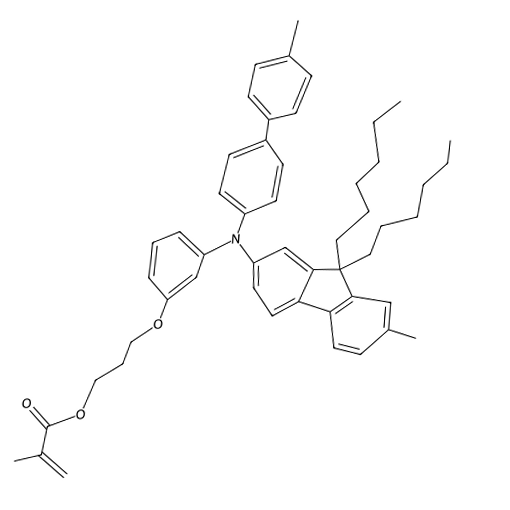 C=C(C)C(=O)OCCCOc1cccc(N(c2ccc(-c3ccc(C)cc3)cc2)c2ccc3c(c2)C(CCCCCC)(CCCCCC)c2cc(C)ccc2-3)c1